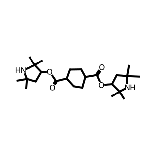 CC1(C)CC(OC(=O)C2CCC(C(=O)OC3CC(C)(C)NC3(C)C)CC2)C(C)(C)N1